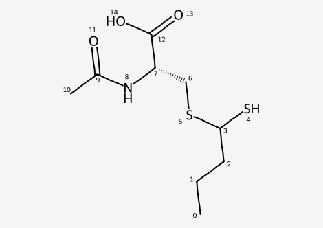 CCCC(S)SC[C@H](NC(C)=O)C(=O)O